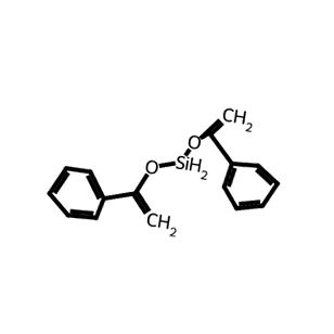 C=C(O[SiH2]OC(=C)c1ccccc1)c1ccccc1